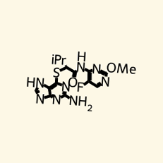 COc1ncc(F)c(NC(=O)[C@@H](Sc2nc(N)nc3nc[nH]c23)C(C)C)n1